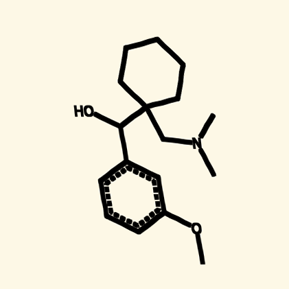 COc1cccc(C(O)C2(CN(C)C)CCCCC2)c1